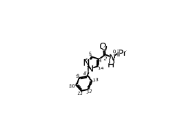 CC(C)NC(=O)c1cnn(-c2ccccc2)c1